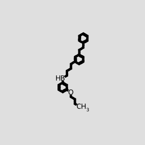 CCCCOc1cccc(BCCCCc2cccc(CCc3ccccc3)c2)c1